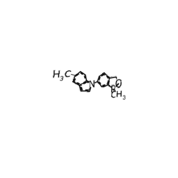 CB1OCc2ccc(-n3ccc4cc(C)ccc43)cc21